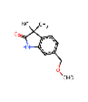 CC1(C#N)C(=O)Nc2cc(COC=O)ccc21